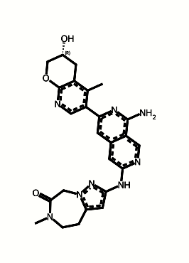 Cc1c(-c2cc3cc(Nc4cc5n(n4)CC(=O)N(C)CC5)ncc3c(N)n2)cnc2c1C[C@@H](O)CO2